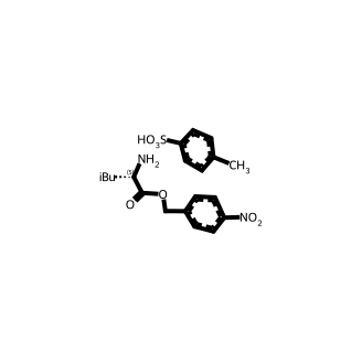 CCC(C)[C@H](N)C(=O)OCc1ccc([N+](=O)[O-])cc1.Cc1ccc(S(=O)(=O)O)cc1